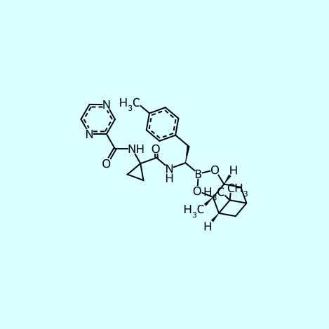 Cc1ccc(C[C@H](NC(=O)C2(NC(=O)c3cnccn3)CC2)B2O[C@@H]3CC4C[C@@H](C4(C)C)[C@]3(C)O2)cc1